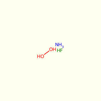 F.N.OO